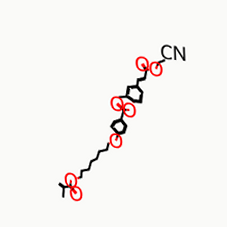 C=C(C)C(=O)OCCCCCCCCOc1ccc(C(=O)Oc2ccc(/C=C/C(=O)OCCC#N)cc2C)cc1